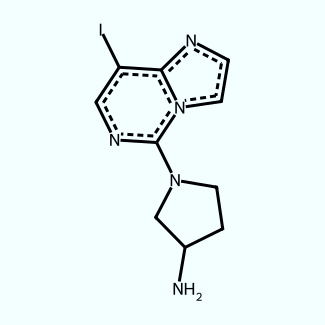 NC1CCN(c2ncc(I)c3nccn23)C1